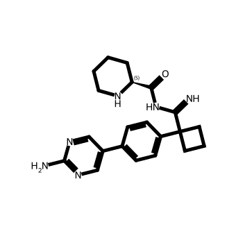 N=C(NC(=O)[C@@H]1CCCCN1)C1(c2ccc(-c3cnc(N)nc3)cc2)CCC1